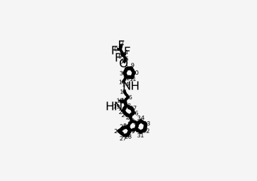 FC(F)C(F)(F)COc1cccc(CNCCc2c[nH]c3cc(C4c5ccccc5-c5ccccc54)ccc23)c1